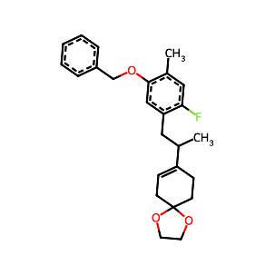 Cc1cc(F)c(CC(C)C2=CCC3(CC2)OCCO3)cc1OCc1ccccc1